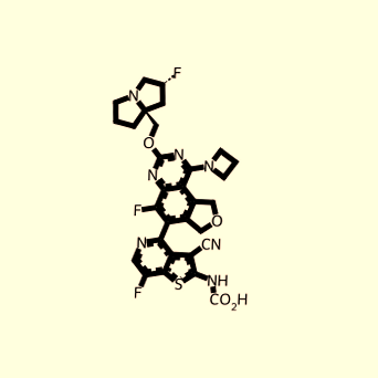 N#Cc1c(NC(=O)O)sc2c(F)cnc(-c3c4c(c5c(N6CCC6)nc(OC[C@@]67CCCN6C[C@H](F)C7)nc5c3F)COC4)c12